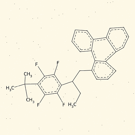 CCC(Cc1cccc2c3ccccc3c3ccccc3c12)c1c(F)c(F)c(C(C)(C)C)c(F)c1F